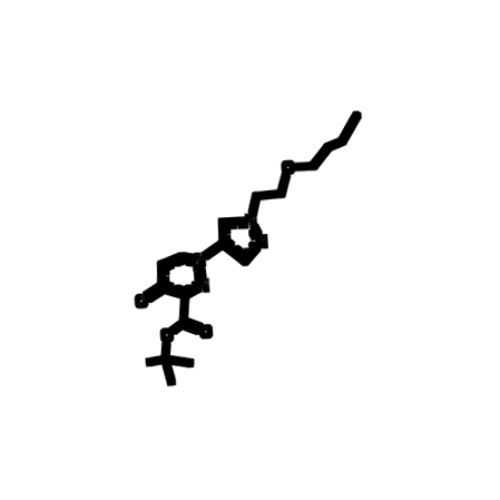 CCCCOCCn1cc(-n2ccc(=O)c(C(=O)OC(C)(C)C)n2)cn1